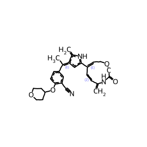 C=C1/C=C\C(c2c/c(=C(/C)c3ccc(OC4CCOCC4)c(C#N)c3)c(=C)[nH]2)=C/COCC(=O)N1